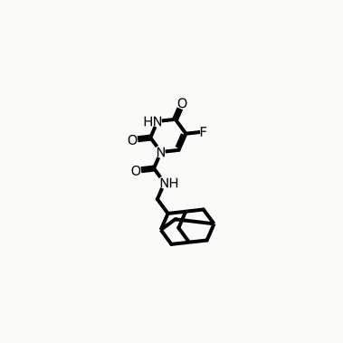 O=C(NCC1C2CC3CC(C2)CC1C3)n1cc(F)c(=O)[nH]c1=O